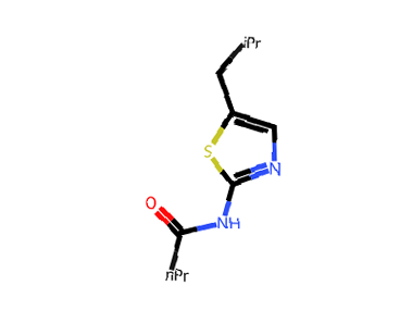 CCCC(=O)Nc1ncc(CC(C)C)s1